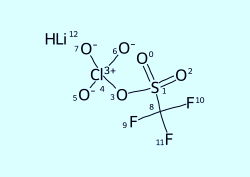 O=S(=O)(O[Cl+3]([O-])([O-])[O-])C(F)(F)F.[LiH]